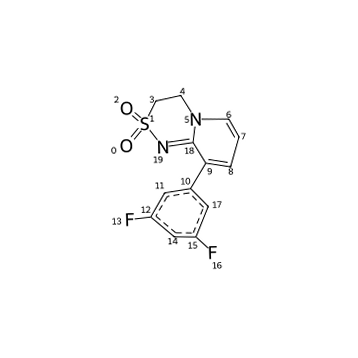 O=S1(=O)CCN2C=CC=C(c3cc(F)cc(F)c3)C2=N1